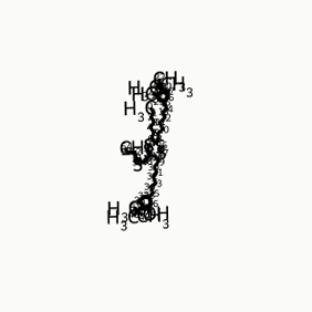 CCCCCCCC1(CCCCCCCc2ccc(C(C)(C)C)c(O)c2)SSC(CCCCCCCc2ccc(C(C)(C)C)c(O)c2)C(CC2SC2CCC)SS1